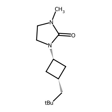 CN1CCN([C@H]2C[C@@H](CC(C)(C)C)C2)C1=O